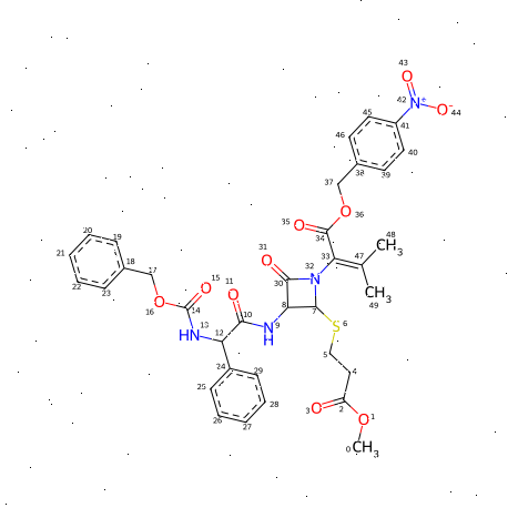 COC(=O)CCSC1C(NC(=O)C(NC(=O)OCc2ccccc2)c2ccccc2)C(=O)N1C(C(=O)OCc1ccc([N+](=O)[O-])cc1)=C(C)C